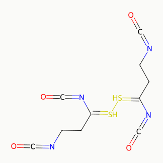 O=C=NCCC(N=C=O)=[SH][SH]=C(CCN=C=O)N=C=O